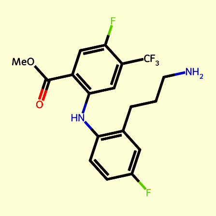 COC(=O)c1cc(F)c(C(F)(F)F)cc1Nc1ccc(F)cc1CCCN